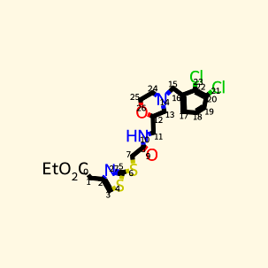 CCOC(=O)Cc1csc(SCC(=O)NCC2CN(Cc3cccc(Cl)c3Cl)CCO2)n1